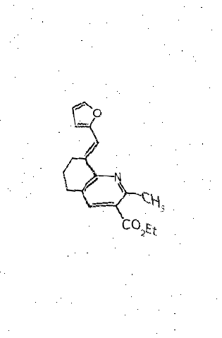 CCOC(=O)c1cc2c(nc1C)C(=Cc1ccco1)CCC2